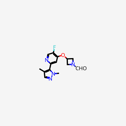 Cc1cnn(C)c1-c1cc(OC2CN(C=O)C2)c(F)cn1